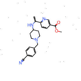 C=C(NC1CCN(Cc2ccc(C#N)cc2)CC1)c1ccc(C(=O)OC)cn1